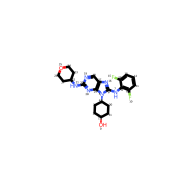 O[C@H]1CC[C@@H](n2c(Nc3c(F)cccc3F)nc3cnc(NC4CCOCC4)nc32)CC1